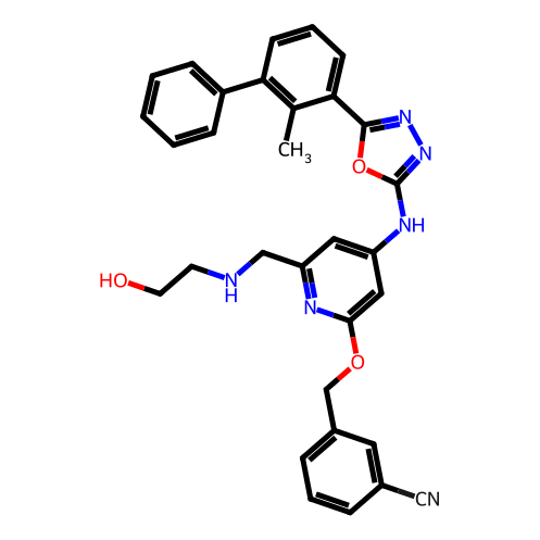 Cc1c(-c2ccccc2)cccc1-c1nnc(Nc2cc(CNCCO)nc(OCc3cccc(C#N)c3)c2)o1